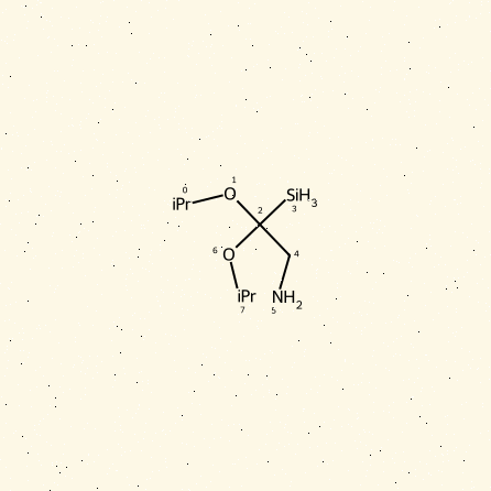 CC(C)OC([SiH3])(CN)OC(C)C